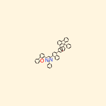 c1ccc(-c2nc(-c3ccc(-c4cccc(-c5cccc6c5C(c5ccccc5)(c5ccccc5)c5ccccc5-6)c4)c4ccccc34)cc(-c3cccc4c3oc3ccccc34)n2)cc1